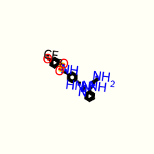 NCCNc1nc(NC[C@H]2CC[C@H](CNS(=O)(=O)c3ccc(OC(F)(F)F)cc3)CC2)nc2ccccc12